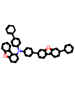 C1=CCCC(c2ccc(N(c3ccc(-c4ccc5c(c4)oc4cc(-c6ccccc6)ccc45)cc3)c3cccc4oc5ccccc5c34)cc2)=C1